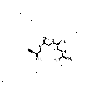 C=C(C#N)CNC(=C)CNC(=C)CNC(=C)N